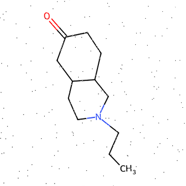 CCCN1CCC2CC(=O)CCC2C1